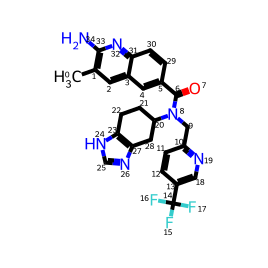 Cc1cc2cc(C(=O)N(Cc3ccc(C(F)(F)F)cn3)C3CCc4[nH]cnc4C3)ccc2nc1N